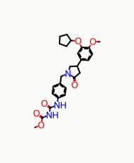 COC(=O)NC(=O)Nc1ccc(CN2CC(c3ccc(OC)c(OC4CCCC4)c3)CC2=O)cc1